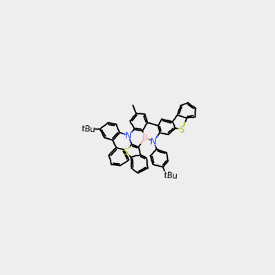 Cc1cc2c3c(c1)N(c1ccc(C(C)(C)C)cc1-c1ccccc1)c1sc4ccccc4c1B3N(c1ccc(C(C)(C)C)cc1)c1cc3sc4ccccc4c3cc1-2